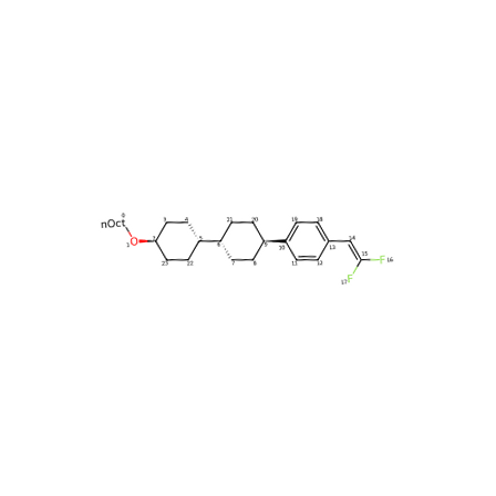 CCCCCCCCO[C@H]1CC[C@H]([C@H]2CC[C@H](c3ccc(C=C(F)F)cc3)CC2)CC1